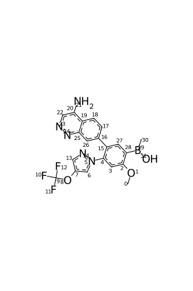 COc1cc(-n2cc(OC(F)(F)F)cn2)c(-c2ccc3c(N)cnnc3c2)cc1B(C)O